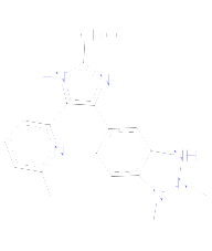 Cc1cccc(-c2[nH]c(C=O)nc2-c2ccc3c(c2)NN(C)N3C)n1